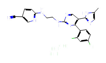 Cc1cnc(-c2cnc(NCCNc3ccc(C#N)cn3)nc2-c2ccc(Cl)cc2Cl)[nH]1.Cl.Cl.Cl